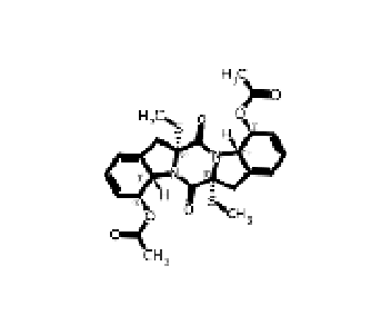 CS[C@@]12CC3=CC=C[C@H](OC(C)=O)[C@H]3N1C(=O)[C@]1(SC)CC3=CC=C[C@H](OC(C)=O)[C@H]3N1C2=O